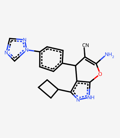 N#CC1=C(N)Oc2[nH]nc(C3CCC3)c2C1c1ccc(-n2cncn2)cc1